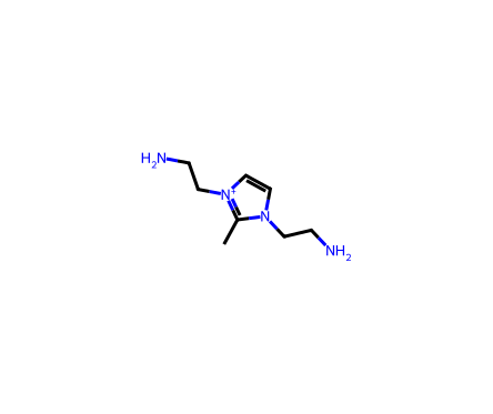 Cc1n(CCN)cc[n+]1CCN